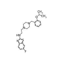 CC(C)Oc1ccccc1CN1CCN(CCNc2nc3ccc(F)cc3s2)CC1